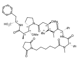 CC[C@H](C)[C@@H]([C@@H](CC(=O)N1CCC[C@H]1[C@H](OC)[C@@H](C)C(=O)N[C@@H](Cc1ccccc1)C(=O)O)OC)N(C)C(=O)[C@@H](NC(=O)[C@H](C(C)C)N(C)C(=O)CCCCCN1C(=O)CCC1=O)C(C)C